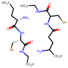 NC(CCC(=O)NC(CS)C(=O)NCC(=O)O)C(=O)O.N[C@@H](CCC(=O)O)C(=O)N[C@@H](CS)C(=O)NCC(=O)O